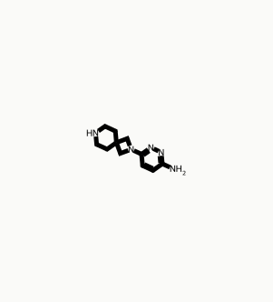 Nc1ccc(N2CC3(CCNCC3)C2)nn1